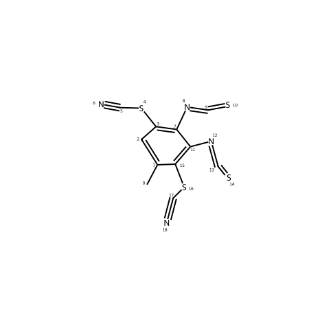 Cc1cc(SC#N)c(N=C=S)c(N=C=S)c1SC#N